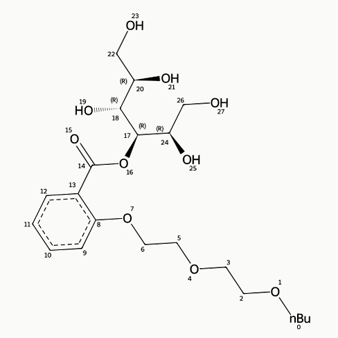 CCCCOCCOCCOc1ccccc1C(=O)O[C@@H]([C@H](O)[C@H](O)CO)[C@H](O)CO